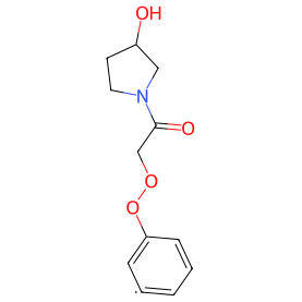 O=C(COOc1c[c]ccc1)N1CCC(O)C1